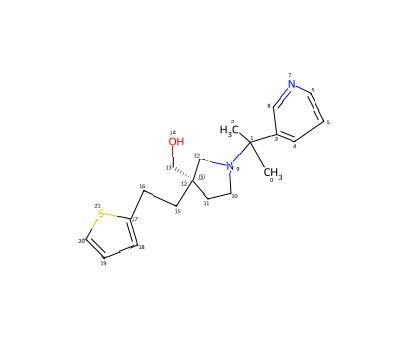 CC(C)(c1cccnc1)N1CC[C@@](CO)(CCc2cccs2)C1